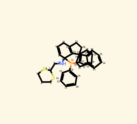 C1=CC(NCC2SCCCS2)(P(c2ccccc2)c2ccccc2)C2=C(C1)CCC21CCc2ccccc21